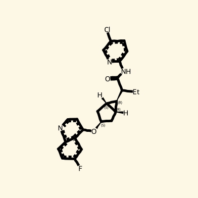 CCC(C(=O)Nc1ccc(Cl)cn1)[C@H]1[C@@H]2C[C@@H](Oc3ccnc4ccc(F)cc34)C[C@@H]21